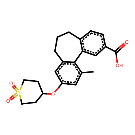 Cc1cc(OC2CCS(=O)(=O)CC2)cc2c1-c1cc(C(=O)O)ccc1CCC2